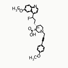 COc1ccc(C#CCN2CC[C@@H](CCC(F)c3ccnc4ccc(OC)cc34)[C@@H](C(=O)O)C2)cc1